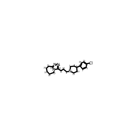 Clc1ccc(C2CCN(CCCc3nnc4n3CCCCC4)CC2)cc1